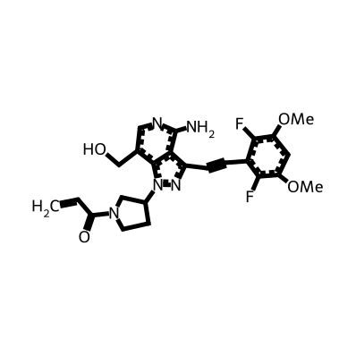 C=CC(=O)N1CCC(n2nc(C#Cc3c(F)c(OC)cc(OC)c3F)c3c(N)ncc(CO)c32)C1